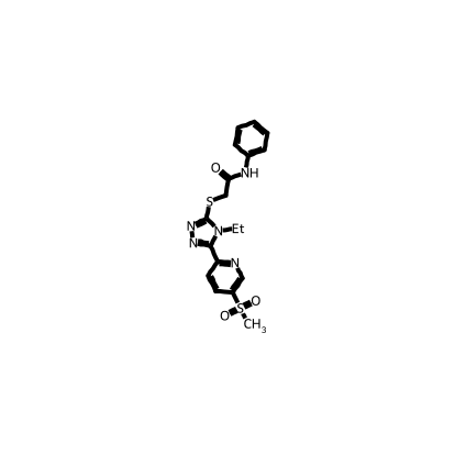 CCn1c(SCC(=O)Nc2ccccc2)nnc1-c1ccc(S(C)(=O)=O)cn1